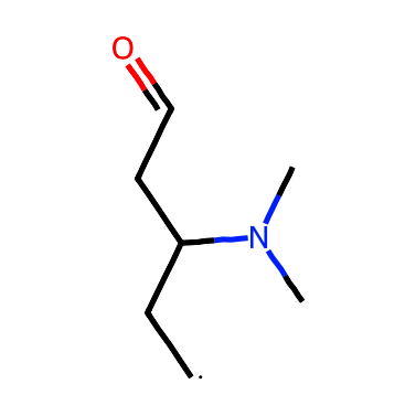 [CH2]CC(CC=O)N(C)C